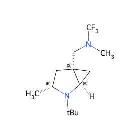 C[C@@H]1C[C@@]2(CN(C)C(F)(F)F)C[C@H]2N1C(C)(C)C